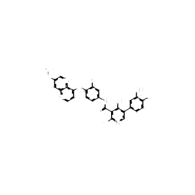 COc1cnc2c(Oc3ccc(NC(=O)c4c(C)ncc(-c5ccc(F)c(C)c5)c4O)cc3F)ccnc2c1